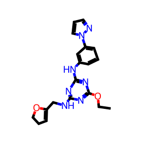 CCOc1nc(NCC2=CCCO2)nc(Nc2cccc(-n3cccn3)c2)n1